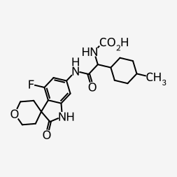 CC1CCC(C(NC(=O)O)C(=O)Nc2cc(F)c3c(c2)NC(=O)C32CCOCC2)CC1